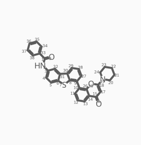 O=C(Nc1ccc2sc3c(-c4cccc5c(=O)cc(N6CCCCC6)oc45)cccc3c2c1)c1ccccc1